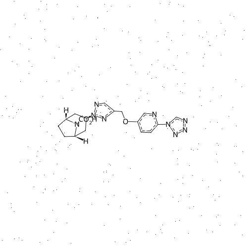 O=C(O)N1[C@@H]2CC[C@H]1C[C@H](n1ncc(COc3ccc(-n4cnnn4)nc3)n1)C2